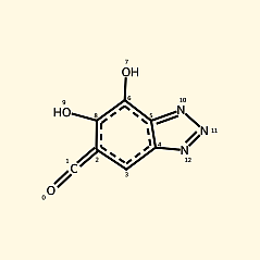 O=C=c1cc2c(c(O)c1O)=NN=N2